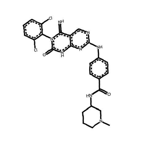 CN1CCCC(NC(=O)c2ccc(Nc3ncc4c(=N)n(-c5c(Cl)cccc5Cl)c(=O)[nH]c4n3)cc2)C1